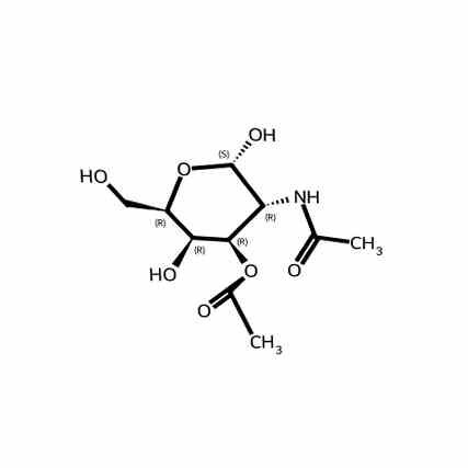 CC(=O)N[C@@H]1[C@@H](OC(C)=O)[C@@H](O)[C@@H](CO)O[C@@H]1O